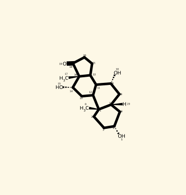 C[C@]12CC[C@@H](O)C[C@H]1C[C@@H](O)C1C2C[C@H](O)[C@]2(C)C(=O)CCC12